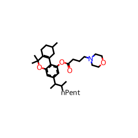 CCCCCC(C)C(C)c1cc(OC(=O)CCCN2CCOCC2)c2c(c1)OC(C)(C)C1=C2CC(C)CC1